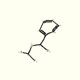 FC(F)OC([S])c1ccccc1